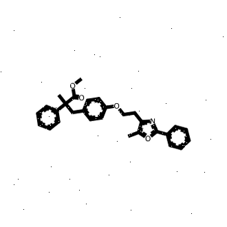 COC(=O)C(C)(Cc1ccc(OCCc2nc(-c3ccccc3)oc2C)cc1)c1ccccc1